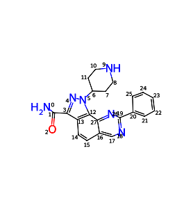 NC(=O)c1nn(C2CCNCC2)c2c1ccc1cnc(-c3ccccc3)nc12